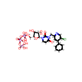 O=c1ccn([C@@H]2O[C@H](COP(=O)(O)OP(=O)(O)OP(=O)(O)O)C(O)[C@@H]2O)c(=O)n1Cc1cc(-c2ccccc2)c(Cl)cn1